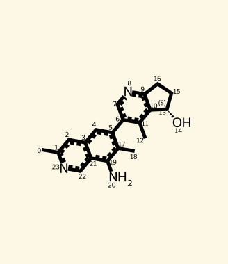 Cc1cc2cc(-c3cnc4c(c3C)[C@@H](O)CC4)c(C)c(N)c2cn1